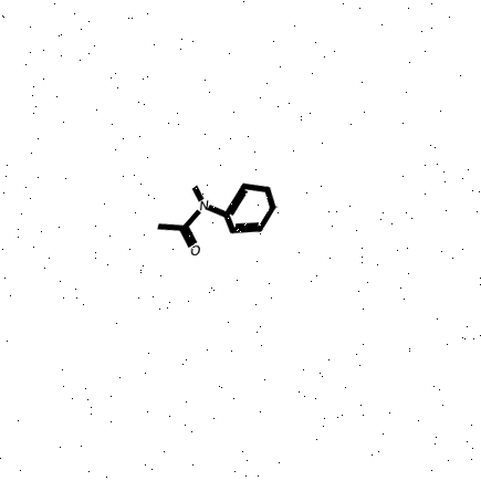 CC(=O)N(C)C1=CC[CH]C=C1